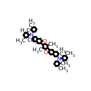 Cc1cccc(N(c2ccc3cc4c(cc3c2)oc2c(C)c3c(oc5cc6cc(N(c7cccc(C)c7C)c7cccc(C)c7C)ccc6cc53)c(C)c24)c2cccc(C)c2C)c1C